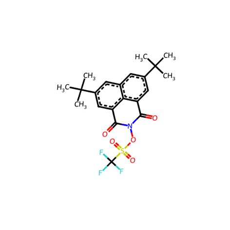 CC(C)(C)c1cc2c3c(cc(C(C)(C)C)cc3c1)C(=O)N(OS(=O)(=O)C(F)(F)F)C2=O